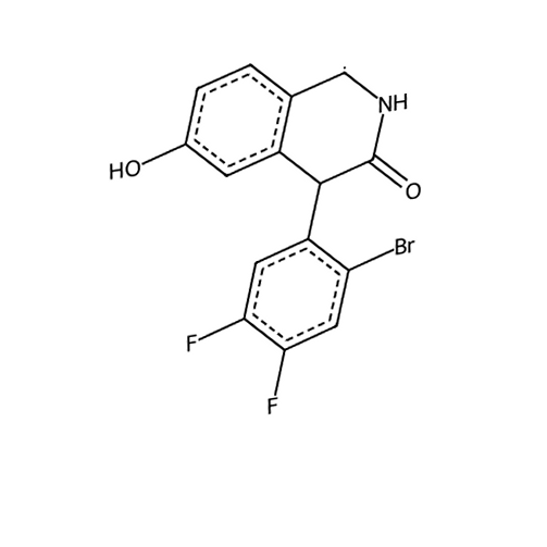 O=C1N[CH]c2ccc(O)cc2C1c1cc(F)c(F)cc1Br